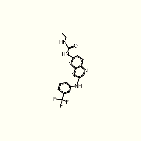 CCNC(=O)Nc1ccc2ncc(Nc3cccc(C(F)(F)F)c3)nc2n1